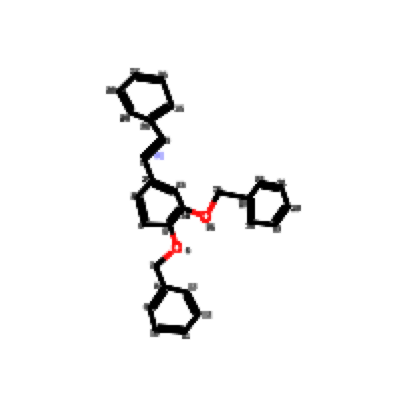 C(=C\c1ccc(OCc2ccccc2)c(OCc2ccccc2)c1)/c1ccccc1